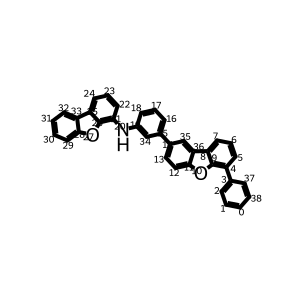 c1ccc(-c2cccc3c2oc2ccc(-c4cccc(Nc5cccc6c5oc5ccccc56)c4)cc23)cc1